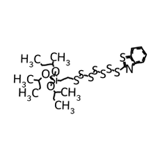 CCC(C)O[Si](CCSSSSSSSc1nc2ccccc2s1)(OC(C)CC)OC(C)CC